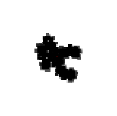 c1ccc2cc3c(cc2c1)c1ccccc1n3-c1c(-c2nc(-c3ccc4sc5ccccc5c4c3)nc(-c3ccc4sc5ccccc5c4c3)n2)c2ccccc2c2oc3ccccc3c12